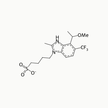 COC(C)c1c(C(F)(F)F)ccc2c1[nH]c(C)[n+]2CCCCS(=O)(=O)[O-]